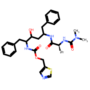 CC(C)[C@H](NC(=O)N(C)C)C(=O)NC(Cc1ccccc1)CC(O)C(Cc1ccccc1)NC(=O)OCc1cncs1